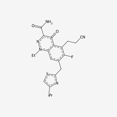 CCn1nc(C(N)=O)c(=O)c2c(CCC#N)c(F)c(Cc3nc(C(C)C)cs3)cc21